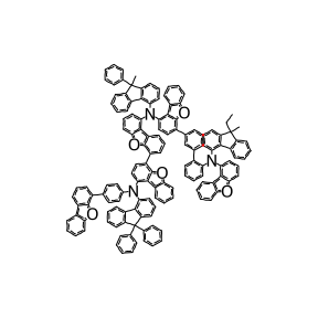 CCC1(C)c2ccccc2-c2c(N(c3ccccc3-c3cccc(-c4ccc(N(c5cccc6c5-c5ccccc5C6(C)c5ccccc5)c5cccc6oc7c(-c8ccc(N(c9ccc(-c%10cccc%11c%10oc%10ccccc%10%11)cc9)c9cccc%10c9-c9ccccc9C%10(c9ccccc9)c9ccccc9)c9c8oc8ccccc89)cccc7c56)c5c4oc4ccccc45)c3)c3cccc4oc5ccccc5c34)cccc21